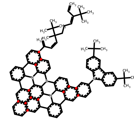 C=C/C(=C\CCC(C)(/C=C\C(=C)Nc1ccc2c(c1)N(c1c(-c3ccccc3)cccc1-c1ccccc1)c1cc(-c3ccccc3)cc3c1B2c1ccc(-c2cccc(-n4c5ccc(C(C)(C)C)cc5c5cc(C(C)(C)C)ccc54)c2)cc1N3c1c(-c2ccccc2)cccc1-c1ccccc1)C(C)(C)C)C(C)(C)C